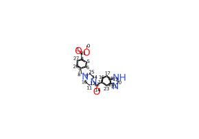 COC(=O)c1ccc(CN2CCN(C(=O)c3ccc4[nH]cnc4c3)CC2)cc1